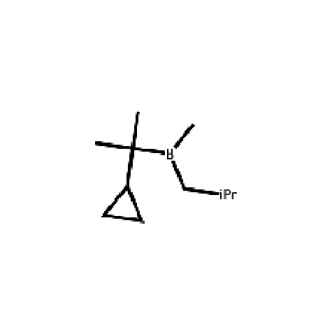 CB(CC(C)C)C(C)(C)C1CC1